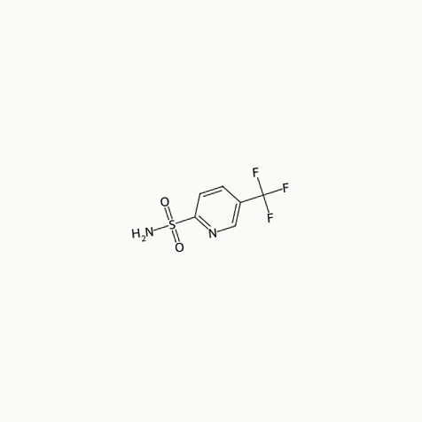 NS(=O)(=O)c1ccc(C(F)(F)F)cn1